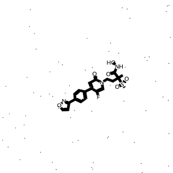 CC(CCn1cc(F)c(-c2ccc(-c3ccon3)cc2)cc1=O)(C(=O)NO)S(C)(=O)=O